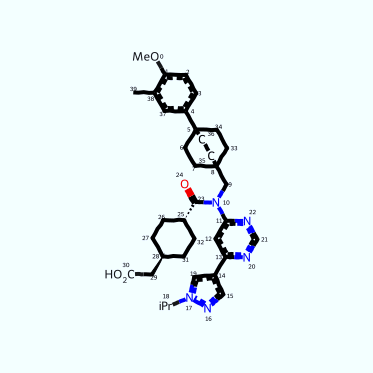 COc1ccc(C23CCC(CN(c4cc(-c5cnn(C(C)C)c5)ncn4)C(=O)[C@H]4CC[C@H](CC(=O)O)CC4)(CC2)CC3)cc1C